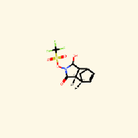 O=C1[C@@H]2C(C3C=C[C@H]2C3)C(O)N1OS(=O)(=O)C(F)(F)F